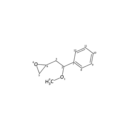 COC(CC1CO1)c1ccccc1